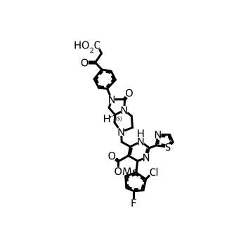 COC(=O)C1=C(CN2CCN3C(=O)N(c4ccc(C(=O)CC(=O)O)cc4)C[C@@H]3C2)NC(c2nccs2)=NC1c1ccc(F)cc1Cl